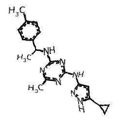 Cc1ccc(C(C)Nc2nc(C)nc(Nc3cc(C4CC4)[nH]n3)n2)cc1